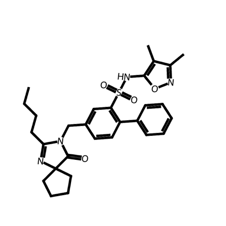 CCCCC1=NC2(CCCC2)C(=O)N1Cc1ccc(-c2ccccc2)c(S(=O)(=O)Nc2onc(C)c2C)c1